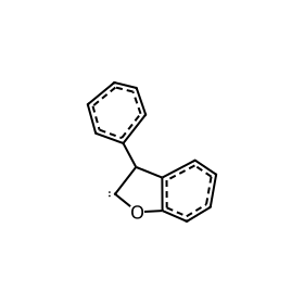 [C]1Oc2ccccc2C1c1ccccc1